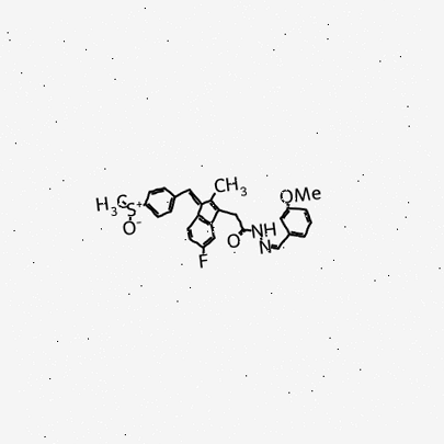 COc1cccc(/C=N\NC(=O)CC2=C(C)/C(=C/c3ccc([S+](C)[O-])cc3)c3ccc(F)cc32)c1